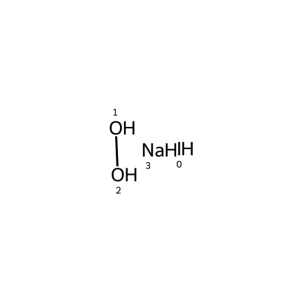 I.OO.[NaH]